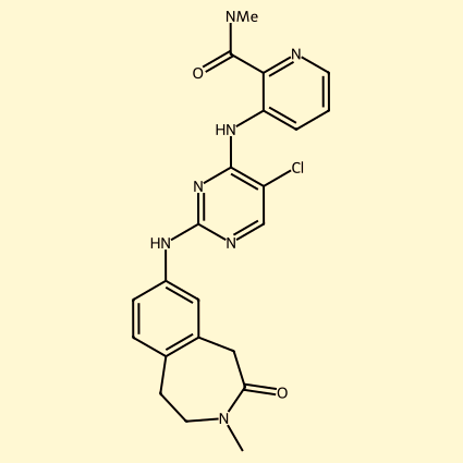 CNC(=O)c1ncccc1Nc1nc(Nc2ccc3c(c2)CC(=O)N(C)CC3)ncc1Cl